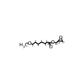 COCCCCCCC(=O)OCC1CO1